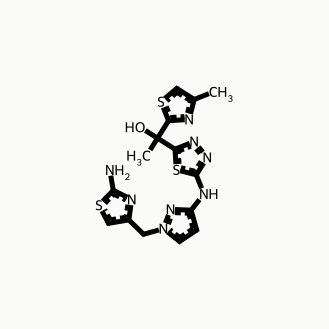 Cc1csc(C(C)(O)c2nnc(Nc3ccn(Cc4csc(N)n4)n3)s2)n1